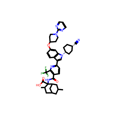 CC1CC2CC(C)C(NC(=O)c3ccc(-c4cn([C@H]5CC[C@@H](C#N)CC5)c5cc(OC6CCN(c7ncccn7)CC6)ccc45)nc3C(F)(F)F)(C(=O)O)C(C1)C2